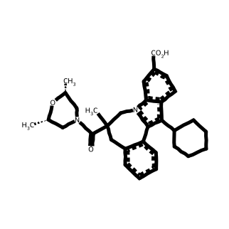 C[C@@H]1CN(C(=O)C2(C)Cc3ccccc3-c3c(C4CCCCC4)c4ccc(C(=O)O)cc4n3C2)C[C@H](C)O1